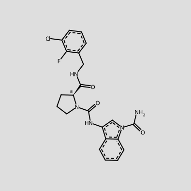 NC(=O)n1cc(NC(=O)N2CCC[C@H]2C(=O)NCc2cccc(Cl)c2F)c2ccccc21